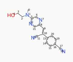 CN(CCO)c1cnc(/C=C(\C#N)c2ccc(C#N)cc2)cn1